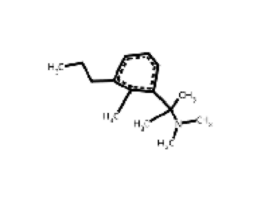 CCCc1cccc(C(C)(C)N(C)C)c1C